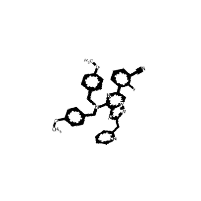 COc1ccc(CN(Cc2ccc(OC)cc2)c2nc(-c3cccc(C#N)c3F)cn3nc(Cc4ccccn4)nc23)cc1